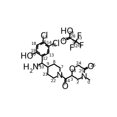 CN1CC(C(=O)N2CCC(C(N)c3cc(Cl)c(Cl)cc3O)CC2)OCC1=O.O=C(O)C(F)(F)F